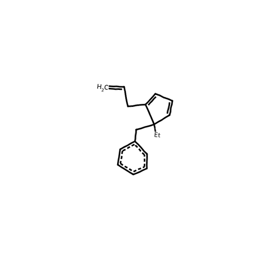 C=CCC1=CC=CC1(CC)Cc1ccccc1